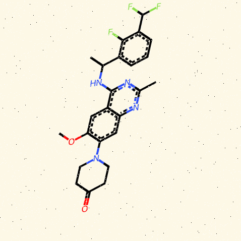 COc1cc2c(NC(C)c3cccc(C(F)F)c3F)nc(C)nc2cc1N1CCC(=O)CC1